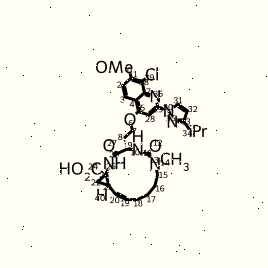 COc1ccc2c(OCC[C@@H]3NC(=O)N(C)CCCCC=C[C@@H]4C[C@@]4(C(=O)O)NC3=O)cc(-n3ccc(C(C)C)n3)nc2c1Cl